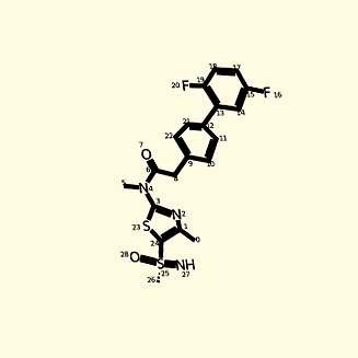 Cc1nc(N(C)C(=O)Cc2ccc(-c3cc(F)ccc3F)cc2)sc1[S@@](C)(=N)=O